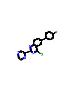 Fc1ccc(-c2ccc3nc(-c4cnccn4)nc(Cl)c3c2)cc1